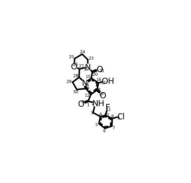 O=C(NCc1cccc(Cl)c1F)c1c2n3c(c(O)c1=O)C(=O)N1CCCOC1C3CC2